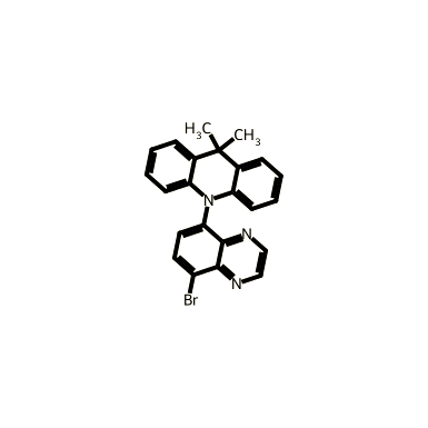 CC1(C)c2ccccc2N(c2ccc(Br)c3nccnc23)c2ccccc21